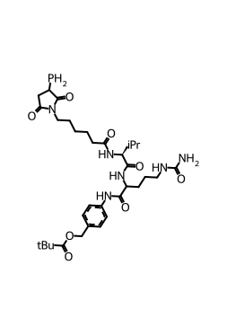 CC(C)[C@H](NC(=O)CCCCCN1C(=O)CC(P)C1=O)C(=O)NC(CCCNC(N)=O)C(=O)Nc1ccc(COC(=O)C(C)(C)C)cc1